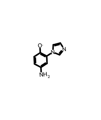 Nc1ccc([O])c(-n2ccnc2)c1